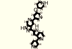 c1cc(-c2nccc3[nH]c(-c4n[nH]c5cnc(-c6cncc(OC7CCNCC7)c6)cc45)cc23)ccn1